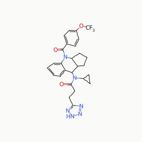 O=C(c1ccc(OC(F)(F)F)cc1)N1c2ccccc2C(N(C(=O)CCc2nn[nH]n2)C2CC2)C2CCCC21